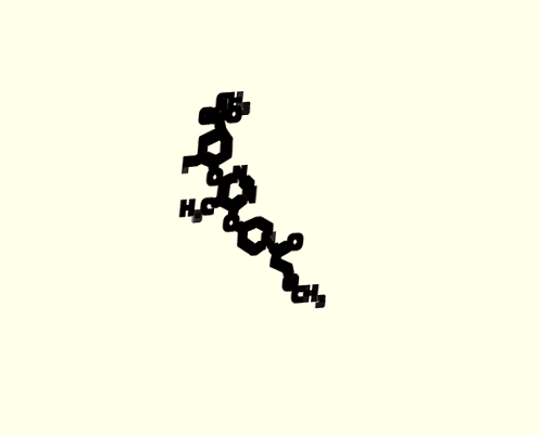 COCCC(=O)N1CCC(Oc2ncnc(Oc3ccc(S(C)(=O)=O)cc3F)c2C)CC1